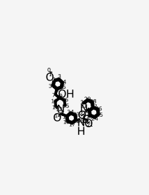 COc1cccc(CC2(O)CCN(C(=O)c3ccc(NS(=O)(=O)c4cccc5cccnc45)cc3)CC2)c1